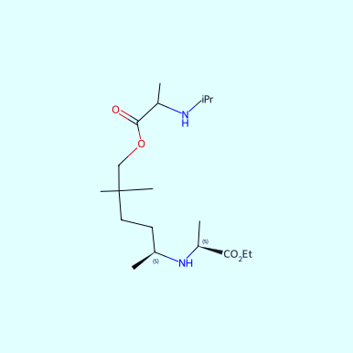 CCOC(=O)[C@H](C)N[C@@H](C)CCC(C)(C)COC(=O)C(C)NC(C)C